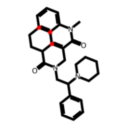 Cn1c(=O)c(CN(CC(c2ccccc2)N2CCCCC2)C(=O)C2CCCCC2)cc2ccccc21